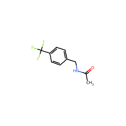 CC(=O)NCc1ccc(C(F)(F)F)cc1